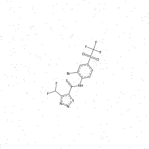 O=S(=O)(c1ccc(NC(=S)c2snnc2C(F)F)c(Br)c1)C(F)(F)F